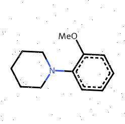 COc1ccccc1N1C[CH]CCC1